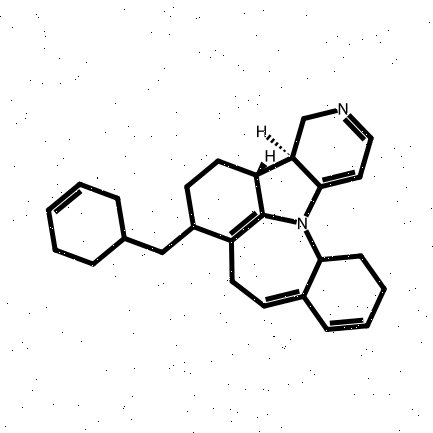 C1=CCC(CC2CC[C@H]3C4=C2CC=C2C=CCCC2N4C2=CC=NC[C@@H]23)CC1